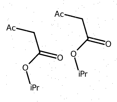 CC(=O)CC(=O)OC(C)C.CC(=O)CC(=O)OC(C)C